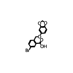 O=C(O)c1cc(Br)ccc1COc1ccc2c(c1)OCO2